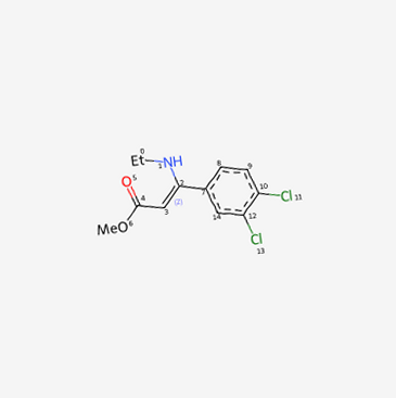 CCN/C(=C\C(=O)OC)c1ccc(Cl)c(Cl)c1